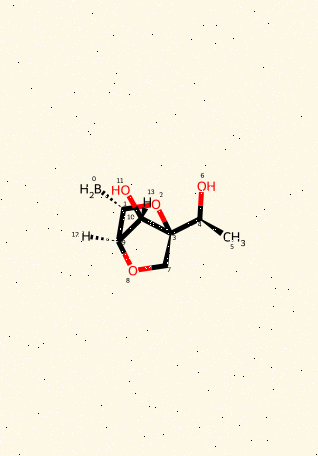 B[C@@H]1O[C@@]2([C@H](C)O)CO[C@@H]1[C@@H]2O